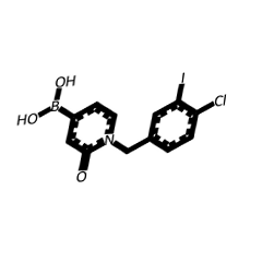 O=c1cc(B(O)O)ccn1Cc1ccc(Cl)c(I)c1